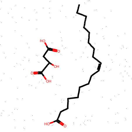 CCCCCCCC/C=C\CCCCCCCC(=O)O.O=C(O)CC(O)C(=O)O